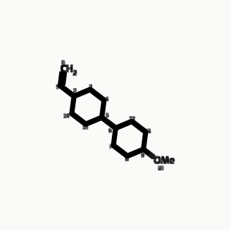 C=CC1CCC(C2CCC(OC)CC2)CC1